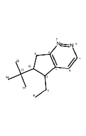 CCC1c2ccnnc2CC1C(C)(C)C